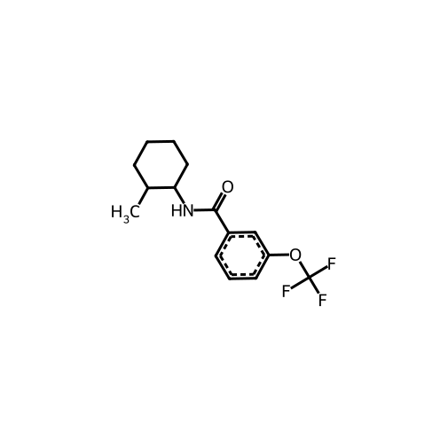 CC1CCCCC1NC(=O)c1cccc(OC(F)(F)F)c1